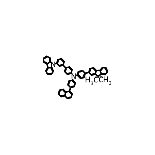 CC1(C)c2ccccc2-c2ccc(-c3ccc(N(c4ccc(-c5cccc(-n6c7ccccc7c7ccccc76)c5)cc4)c4ccc(-c5cccc6ccccc56)cc4)cc3)cc21